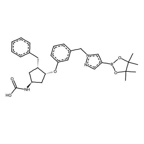 CC1(C)OB(c2cnn(Cc3cccc(O[C@@H]4C[C@@H](NC(=O)O)C[C@@H]4Cc4ccccc4)c3)c2)OC1(C)C